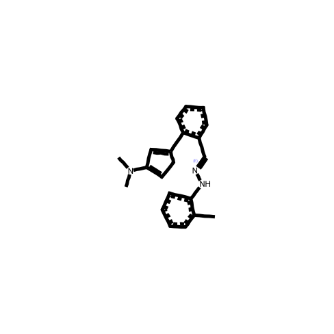 Cc1ccccc1N/N=C/c1ccccc1C1=CC(N(C)C)=CC1